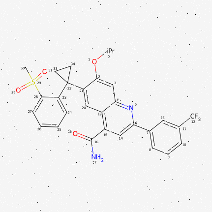 CC(C)Oc1cc2nc(-c3cccc(C(F)(F)F)c3)cc(C(N)=O)c2cc1C1(c2ccccc2S(C)(=O)=O)CC1